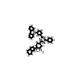 CC1(c2ccc3ccccc3c2)C=CC(c2nc(-c3ccccc3)nc(-c3cccc(-n4c5ccccc5c5ccccc54)c3)n2)=CC1